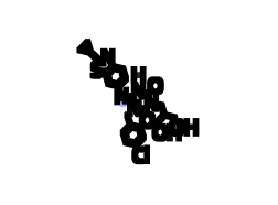 O=c1[nH]/c(=N\c2ccc3nc(C4CC4)sc3c2)n(Cc2ccc(Cl)cc2)c(=O)n1CC(CO)CO